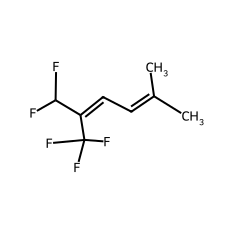 CC(C)=CC=C(C(F)F)C(F)(F)F